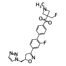 CN1CC(CF)(S(=O)(=O)c2ccc(-c3ccc(C4=NO[C@@H](Cn5ccnn5)C4)cc3F)cc2)C1